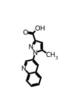 Cc1cc(C(=O)O)nn1-c1cnc2ccccc2c1